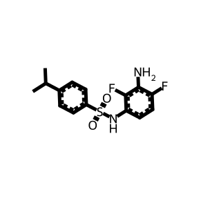 CC(C)c1ccc(S(=O)(=O)Nc2ccc(F)c(N)c2F)cc1